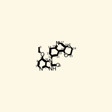 CCOc1ccnc2[nH]c(=O)n(-c3ccc4ncc5c(c4c3)OCCS5)c12